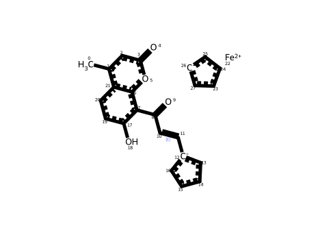 Cc1cc(=O)oc2c(C(=O)/C=C/[c-]3cccc3)c(O)ccc12.[Fe+2].c1cc[cH-]c1